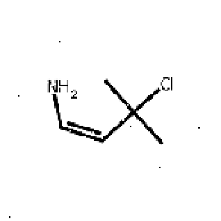 CC(C)(Cl)/C=C\N